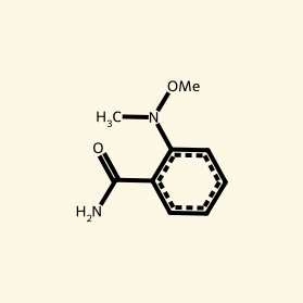 CON(C)c1ccccc1C(N)=O